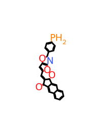 O=C1C(=Cc2cc3oc(-c4ccc(P)cc4)nc3o2)C(=O)c2cc3ccccc3cc21